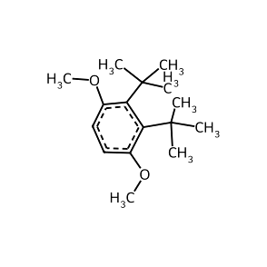 COc1ccc(OC)c(C(C)(C)C)c1C(C)(C)C